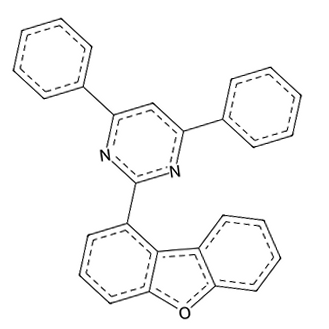 c1ccc(-c2cc(-c3ccccc3)nc(-c3cccc4oc5ccccc5c34)n2)cc1